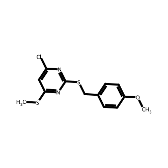 COc1ccc(CSc2nc(Cl)cc(SC)n2)cc1